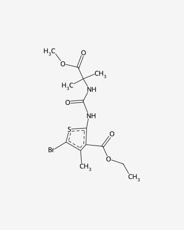 CCOC(=O)c1c(NC(=O)NC(C)(C)C(=O)OC)sc(Br)c1C